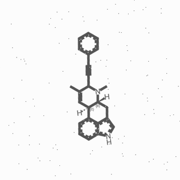 CC1=C[C@@H]2c3cccc4[nH]cc(c34)C[C@H]2N(C)C1C#Cc1ccccc1